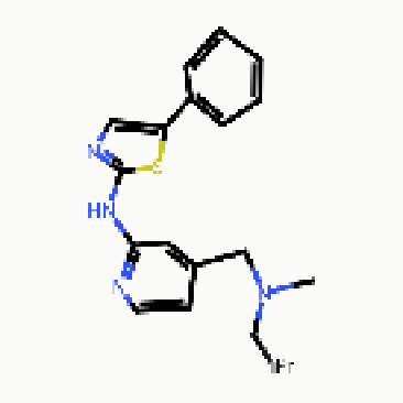 CC(C)CN(C)Cc1ccnc(Nc2ncc(-c3ccccc3)s2)c1